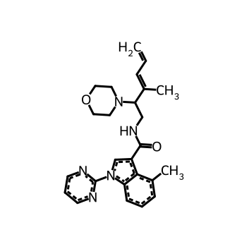 C=C/C=C(\C)C(CNC(=O)c1cn(-c2ncccn2)c2cccc(C)c12)N1CCOCC1